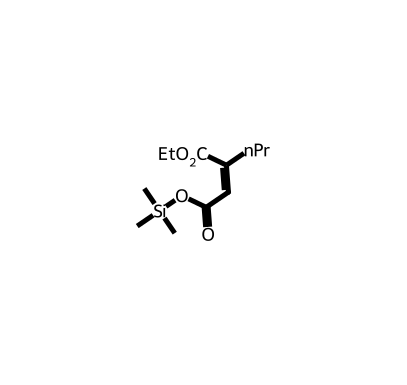 CCCC(=CC(=O)O[Si](C)(C)C)C(=O)OCC